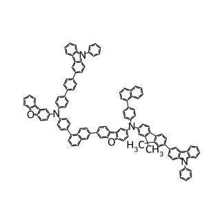 CC1(C)c2cc(-c3ccc4c(c3)c3ccccc3n4-c3ccccc3)ccc2-c2ccc(N(c3ccc(-c4cccc5ccccc45)cc3)c3ccc4oc5cc(-c6ccc7c(-c8ccc(N(c9ccc(-c%10ccc(-c%11ccc%12c(c%11)c%11ccccc%11n%12-c%11ccccc%11)cc%10)cc9)c9ccc%10oc%11ccccc%11c%10c9)cc8)cccc7c6)ccc5c4c3)cc21